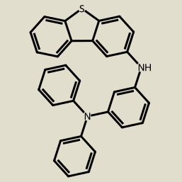 c1ccc(N(c2ccccc2)c2cccc(Nc3ccc4sc5ccccc5c4c3)c2)cc1